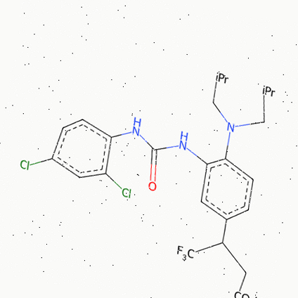 CC(C)CN(CC(C)C)c1ccc(C(CC(=O)O)C(F)(F)F)cc1NC(=O)Nc1ccc(Cl)cc1Cl